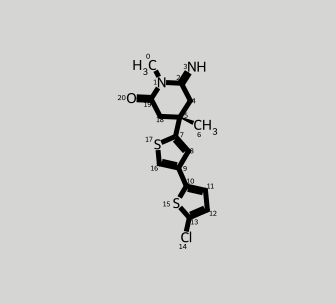 CN1C(=N)C[C@](C)(c2cc(-c3ccc(Cl)s3)cs2)CC1=O